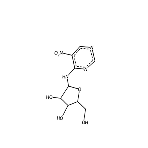 O=[N+]([O-])c1cncnc1NC1OC(CO)C(O)C1O